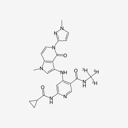 [2H]C([2H])([2H])NC(=O)c1cnc(NC(=O)C2CC2)cc1Nc1cn(C)c2ccn(-c3ccn(C)n3)c(=O)c12